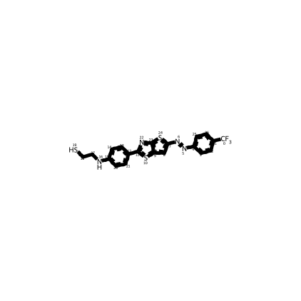 FC(F)(F)c1ccc(N=Nc2cc3sc(-c4ccc(NCCS)cc4)nc3s2)cc1